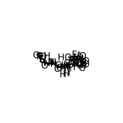 CCc1c2c(nc3ccc(O)cc13)-c1cc3c(c(=O)n1C2)COC(=O)C3(CC)OC(=O)OCC(NC(=O)COCC(=O)NCNCOC(C)(C)CCn1cc(CNC(=O)C2CCC(CN3C(=O)CCC3=O)CC2)nn1)C(C)C